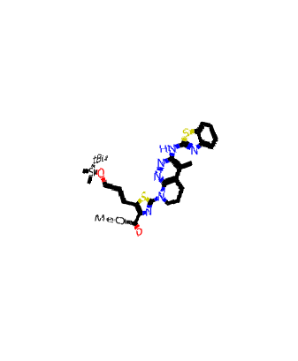 COC(=O)c1nc(N2CCCc3c2nnc(Nc2nc4ccccc4s2)c3C)sc1CCCO[Si](C)(C)C(C)(C)C